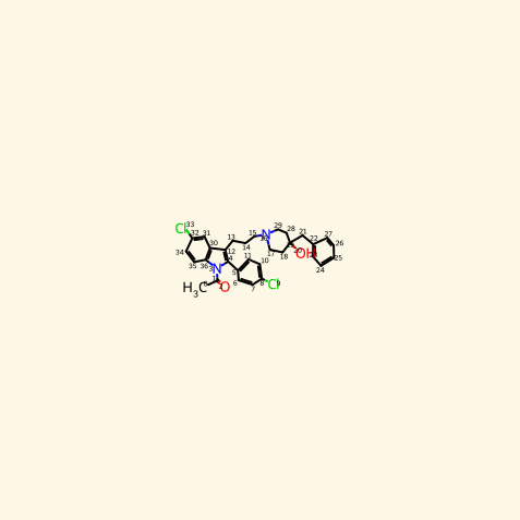 CC(=O)n1c(-c2ccc(Cl)cc2)c(CCCN2CCC(O)(Cc3ccccc3)CC2)c2cc(Cl)ccc21